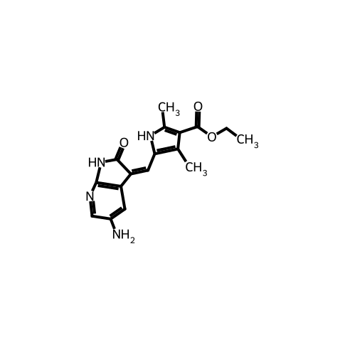 CCOC(=O)c1c(C)[nH]c(C=C2C(=O)Nc3ncc(N)cc32)c1C